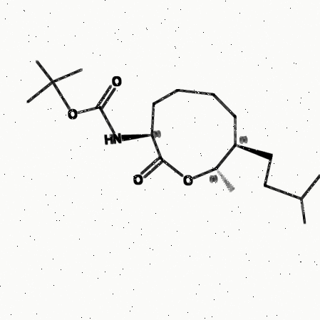 CC(C)CC[C@@H]1CCCC[C@H](NC(=O)OC(C)(C)C)C(=O)O[C@H]1C